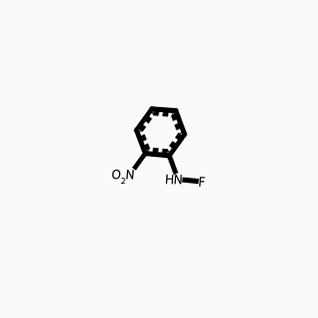 O=[N+]([O-])c1ccccc1NF